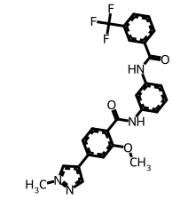 COc1cc(-c2cnn(C)c2)ccc1C(=O)Nc1cccc(NC(=O)c2cccc(C(F)(F)F)c2)c1